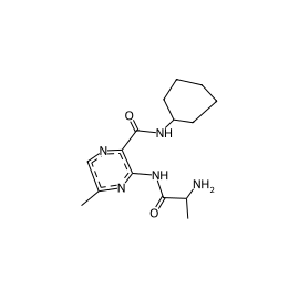 Cc1cnc(C(=O)NC2CCCCC2)c(NC(=O)C(C)N)n1